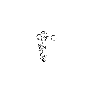 CS(=O)(=O)OCc1nc(-c2cn(CC3CCCCC3)c3c(C#N)cccc23)ns1